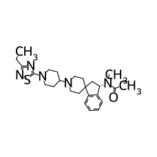 CCc1nsc(N2CCC(N3CCC4(CC3)C[C@H](N(C)C(C)=O)c3ccccc34)CC2)n1